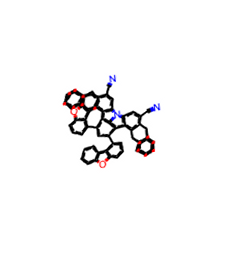 N#Cc1cc2c(c3c1C1c4ccccc4C3c3ccccc31)c1c(-c3cccc4oc5ccccc5c34)cc(-c3cccc4oc5ccccc5c34)c3c4c5c(c(C#N)cc4n2c13)C1c2ccccc2C5c2ccccc21